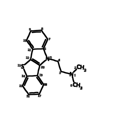 CN(C)CCn1c2ccccc2c2sc3ccccc3c21